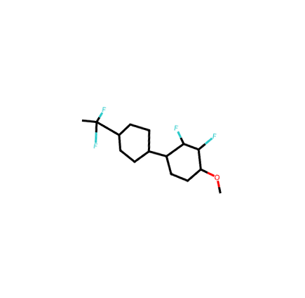 COC1CCC(C2CCC(C(C)(F)F)CC2)C(F)C1F